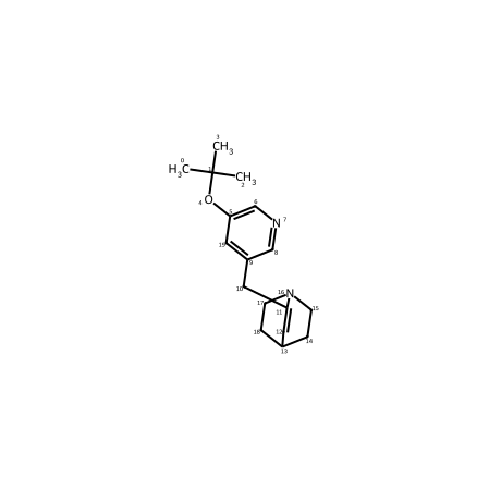 CC(C)(C)Oc1cncc(CC2=CC3CCN2CC3)c1